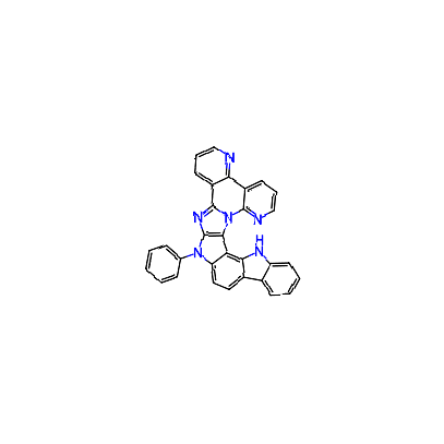 c1ccc(-n2c3ccc4c5ccccc5[nH]c4c3c3c2nc2c4cccnc4c4cccnc4n23)cc1